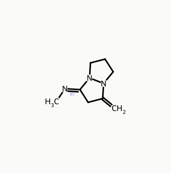 C=C1C/C(=N\C)N2CCCN12